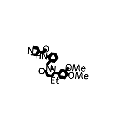 CCC1CC(=O)N(Cc2ccccc2NC(=O)c2ccncc2)N=C1c1ccc(OC)c(OC)c1